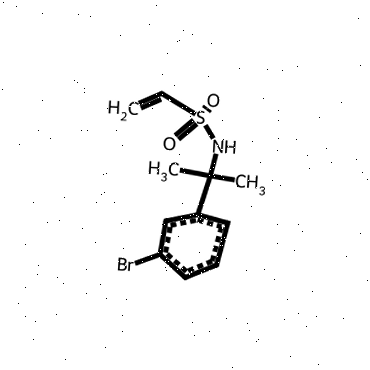 C=CS(=O)(=O)NC(C)(C)c1cccc(Br)c1